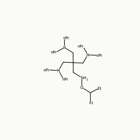 CCCN(CCC)CC(C[SiH2]OC(CC)CC)(CN(CCC)CCC)CN(CCC)CCC